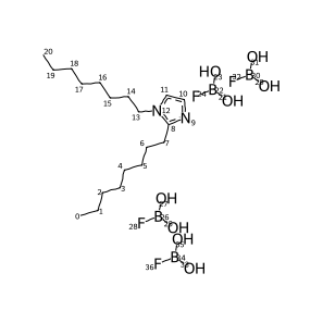 CCCCCCCCc1nccn1CCCCCCCC.OB(O)F.OB(O)F.OB(O)F.OB(O)F